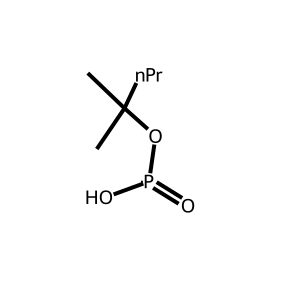 CCCC(C)(C)O[P](=O)O